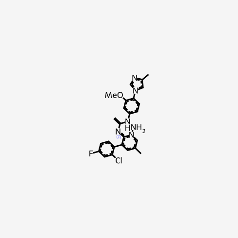 C=C(/N=c1/c(-c2ccc(F)cc2Cl)cc(C)cn1N)Nc1ccc(-n2cnc(C)c2)c(OC)c1